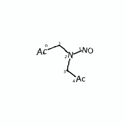 CC(=O)CN(CC(C)=O)N=O